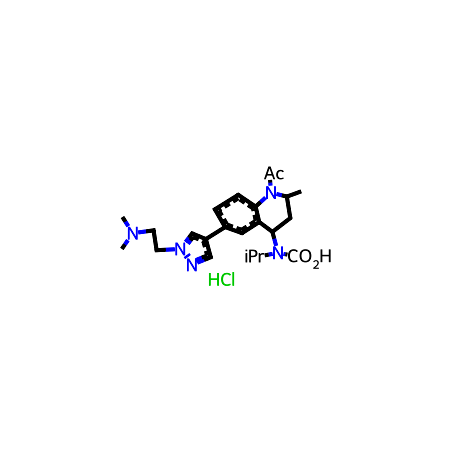 CC(=O)N1c2ccc(-c3cnn(CCN(C)C)c3)cc2C(N(C(=O)O)C(C)C)CC1C.Cl